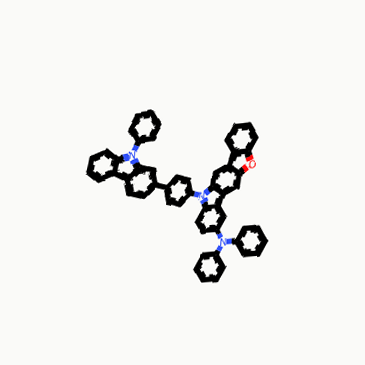 c1ccc(N(c2ccccc2)c2ccc3c(c2)c2cc4oc5ccccc5c4cc2n3-c2ccc(-c3ccc4c5ccccc5n(-c5ccccc5)c4c3)cc2)cc1